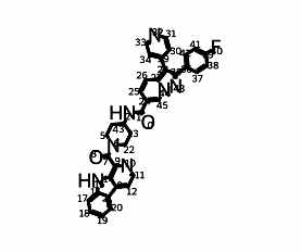 O=C(NC1CCN(C(=O)c2nccc3c2[nH]c2ccccc23)CC1)c1ccc2c(-c3ccncc3)c(-c3ccc(F)cc3)nn2c1